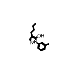 CCCCc1cnn(-c2cccc(C)c2)c1O